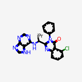 CC(C)C(Nc1ncnc2nc[nH]c12)c1nc2cccc(Cl)c2c(=O)n1-c1ccccc1